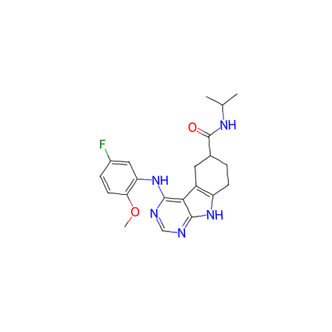 COc1ccc(F)cc1Nc1ncnc2[nH]c3c(c12)CC(C(=O)NC(C)C)CC3